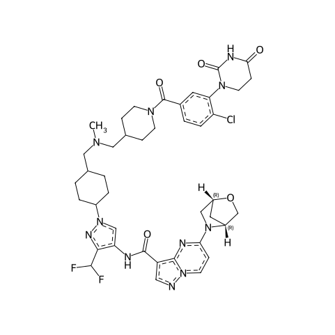 CN(CC1CCC(n2cc(NC(=O)c3cnn4ccc(N5C[C@H]6C[C@@H]5CO6)nc34)c(C(F)F)n2)CC1)CC1CCN(C(=O)c2ccc(Cl)c(N3CCC(=O)NC3=O)c2)CC1